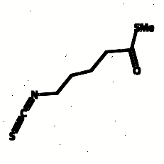 CSC(=O)CCCCN=C=S